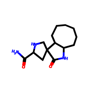 NC(=O)C1CC2(CN1)C(=O)NC1CCCCCCC12